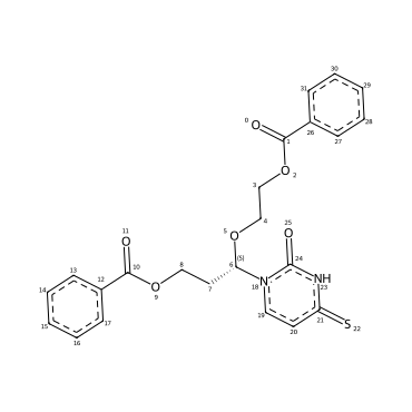 O=C(OCCO[C@@H](CCOC(=O)c1ccccc1)n1ccc(=S)[nH]c1=O)c1ccccc1